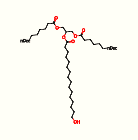 CCCCCCCCCCCCCCCC(=O)OCC(COC(=O)CCCCCCCCCCCCCCC)OC(=O)CCCCCCCCCCCCCCCO